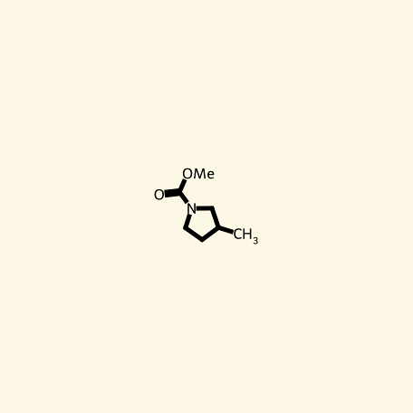 COC(=O)N1CCC(C)C1